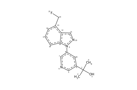 CC(C)(O)c1cncc(-n2ncc3c(CF)cccc32)c1